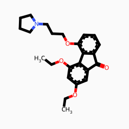 CCOc1cc(OCC)c2c(c1)C(=O)c1cccc(OCCCN3CCCC3)c1-2